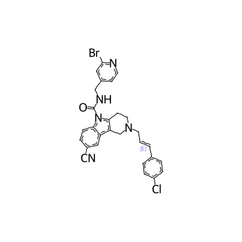 N#Cc1ccc2c(c1)c1c(n2C(=O)NCc2ccnc(Br)c2)CCN(C/C=C/c2ccc(Cl)cc2)C1